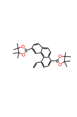 C=Cc1ccc(B2OC(C)(C)C(C)(C)O2)c2ccc3ccc(B4OC(C)(C)C(C)(C)O4)cc3c12